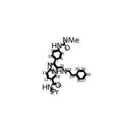 CNC(=O)Nc1ccc(-c2nc3ccc(C(=O)NC(C)C)cn3c2CNCCc2ccccc2)cc1